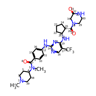 CN1CCC(N(C)C(=O)c2ccc(Nc3ncc(C(F)(F)F)c(N[C@@H]4CCC[C@@H]4C(=O)N4CCNC(=O)C4)n3)cc2)CC1